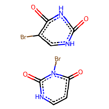 O=c1[nH]cc(Br)c(=O)[nH]1.O=c1cc[nH]c(=O)n1Br